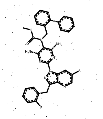 COC(=O)N(Cc1ccccc1-c1ccccc1)c1c(N)nc(-n2nc(Cc3ccccc3F)c3ncc(F)cc32)nc1N